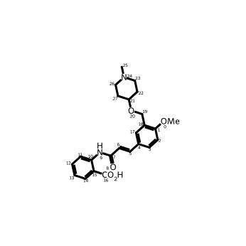 COc1ccc(C=CC(=O)Nc2ccccc2C(=O)O)cc1COC1CCN(C)CC1